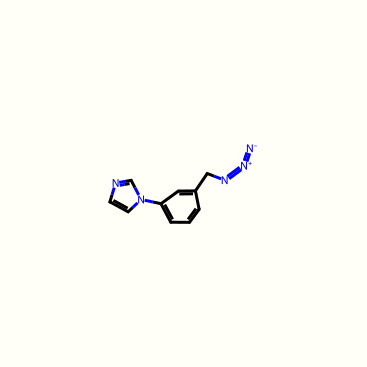 [N-]=[N+]=NCc1cccc(-n2ccnc2)c1